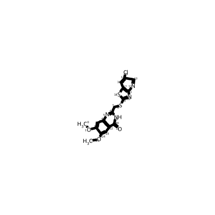 COc1cc2nc(CSc3nc4ncc(Cl)cc4s3)[nH]c(=O)c2cc1OC